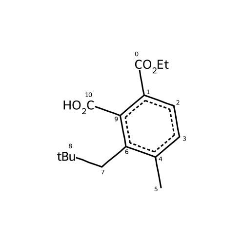 CCOC(=O)c1ccc(C)c(CC(C)(C)C)c1C(=O)O